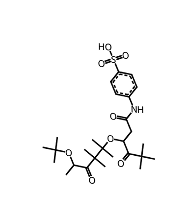 CC(OC(C)(C)C)C(=O)C(C)(C)C(C)(C)OC(CC(=O)Nc1ccc(S(=O)(=O)O)cc1)C(=O)C(C)(C)C